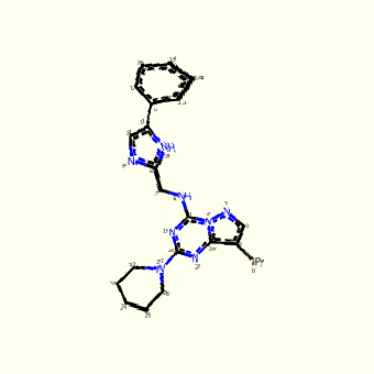 CC(C)c1cnn2c(NCc3ncc(-c4ccccc4)[nH]3)nc(N3CCCCC3)nc12